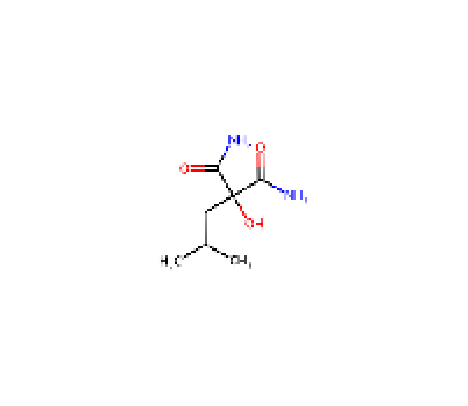 CC(C)CC(O)(C(N)=O)C(N)=O